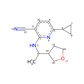 CC(Nc1nc(C2CC2)ccc1C#N)C1CCOC1